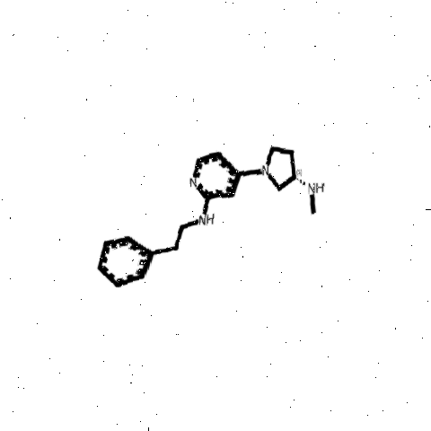 CN[C@H]1CCN(c2ccnc(NCCc3ccccc3)c2)C1